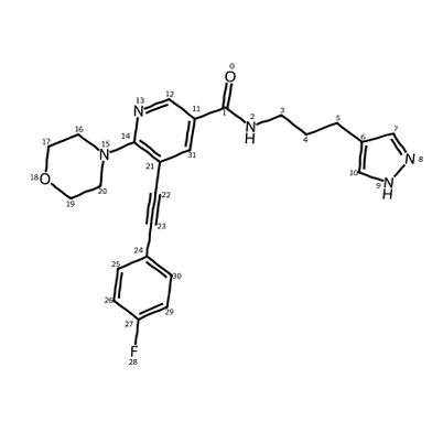 O=C(NCCCc1cn[nH]c1)c1cnc(N2CCOCC2)c(C#Cc2ccc(F)cc2)c1